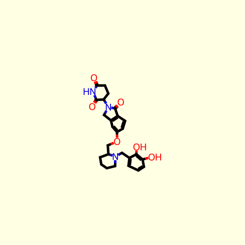 O=C1CCC(N2Cc3cc(OCC4CCCCN4Cc4cccc(O)c4O)ccc3C2=O)C(=O)N1